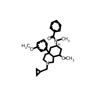 COc1cccc(C23CCN(CC4CC4)CC2C(OC)C[C@H](N(C)C(=O)c2ccccc2)C3)c1